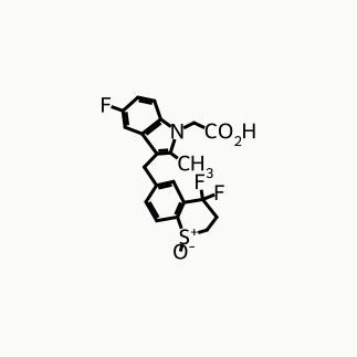 Cc1c(Cc2ccc3c(c2)C(F)(F)CC[S+]3[O-])c2cc(F)ccc2n1CC(=O)O